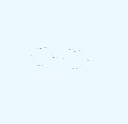 CS(=O)(=O)c1ccc[c]c1-c1c(F)c(F)c(F)c(F)c1F